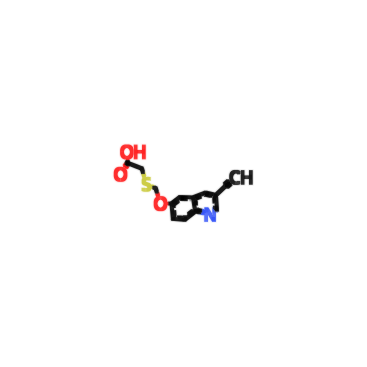 C#Cc1cnc2ccc(OCSCC(=O)O)cc2c1